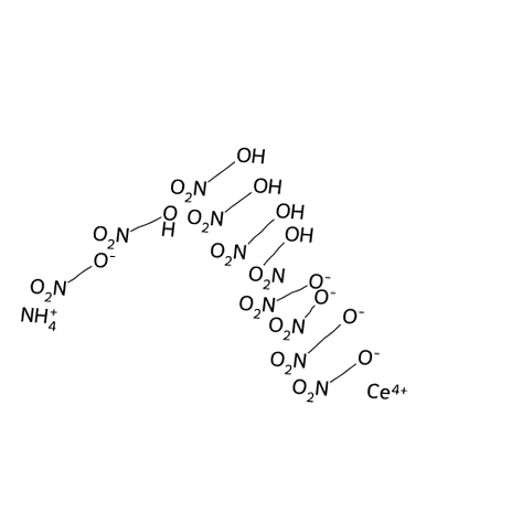 O=[N+]([O-])O.O=[N+]([O-])O.O=[N+]([O-])O.O=[N+]([O-])O.O=[N+]([O-])O.O=[N+]([O-])[O-].O=[N+]([O-])[O-].O=[N+]([O-])[O-].O=[N+]([O-])[O-].O=[N+]([O-])[O-].[Ce+4].[NH4+]